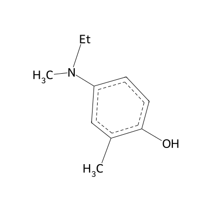 CCN(C)c1ccc(O)c(C)c1